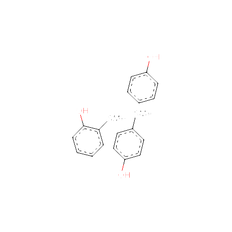 CSc1ccc(O)cc1.CSc1ccccc1O.Oc1ccccc1